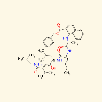 CCCC[C@H](NC(=O)C(C)Nc1c(C(=O)OCc2ccccc2)ccc2ccccc12)C(=O)N[C@@H](CC(C)C)[C@@H](O)/C=C(/C(=O)NCC(C)C)C(C)C